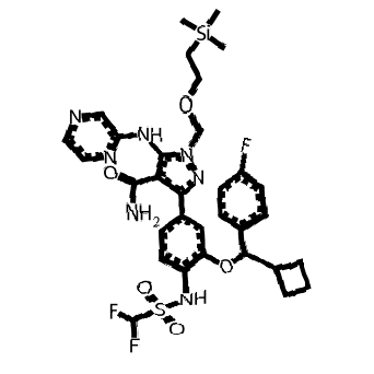 C[Si](C)(C)CCOCn1nc(-c2ccc(NS(=O)(=O)C(F)F)c(OC(c3ccc(F)cc3)C3CCC3)c2)c(C(N)=O)c1Nc1cnccn1